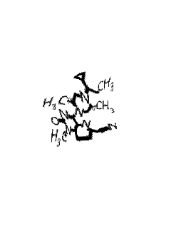 CCC(C1CC1)N1C[C@H](C)N(c2nc(=O)n(C)c3ccc(C#N)nc23)C[C@H]1C